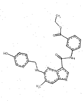 CCOC(=O)c1cccc(NC(=O)c2cnc3cc(C)c(NCc4ccc(O)cc4)nn23)c1